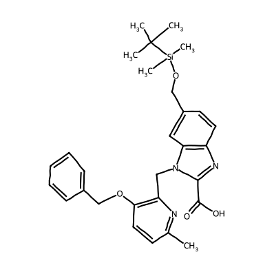 Cc1ccc(OCc2ccccc2)c(Cn2c(C(=O)O)nc3ccc(CO[Si](C)(C)C(C)(C)C)cc32)n1